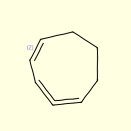 C1=C/C=C\CCCC=1